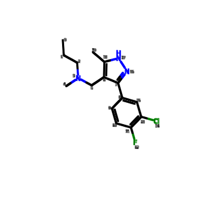 CCCN(C)Cc1c(-c2ccc(F)c(Cl)c2)n[nH]c1C